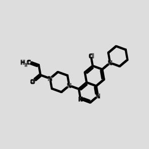 C=CC(=O)N1CCN(c2ncnc3cc(N4CCCCC4)c(Cl)cc23)CC1